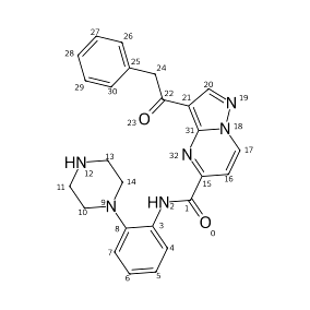 O=C(Nc1ccccc1N1CCNCC1)c1ccn2ncc(C(=O)Cc3ccccc3)c2n1